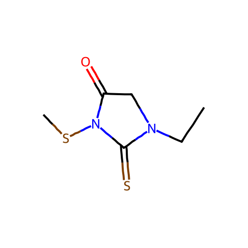 CCN1CC(=O)N(SC)C1=S